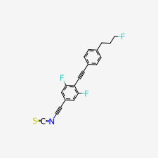 FCCCc1ccc(C#Cc2c(F)cc(C#CN=C=S)cc2F)cc1